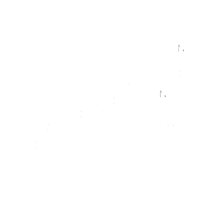 N#Cc1ccc2c3c1ccc1cc(-c4cc5ccc6cc(-c7ccc8ccccc8c7)cc7ccc(c4)c5c67)cc(c13)n2-c1ccccc1